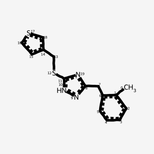 Cc1ccccc1Cc1n[nH]c(SCc2ccsc2)n1